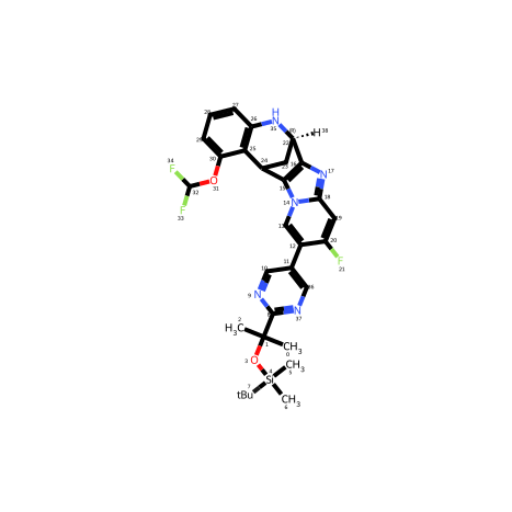 CC(C)(O[Si](C)(C)C(C)(C)C)c1ncc(-c2cn3c4c(nc3cc2F)[C@H]2CC4c3c(cccc3OC(F)F)N2)cn1